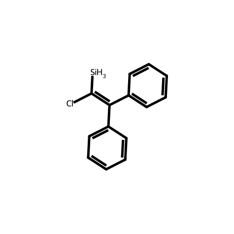 [SiH3]C(Cl)=C(c1ccccc1)c1ccccc1